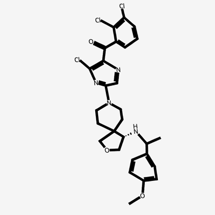 COc1ccc(C(C)N[C@@H]2COCC23CCN(c2cnc(C(=O)c4cccc(Cl)c4Cl)c(Cl)n2)CC3)cc1